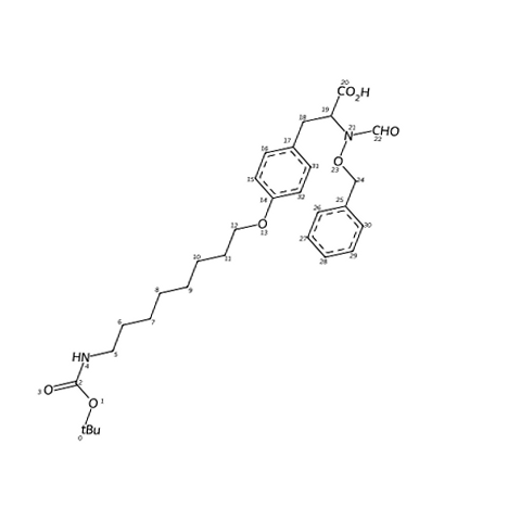 CC(C)(C)OC(=O)NCCCCCCCCOc1ccc(CC(C(=O)O)N(C=O)OCc2ccccc2)cc1